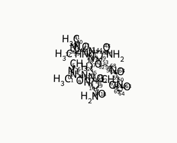 CCn1nc(C)cc1C(=O)Nc1nc2cc(C(N)=O)cc(OC)c2n1CC=CCn1c(NC(=O)c2cc(C)nn2CC)nc2cc(C(N)=O)cc(OCCC3CN(C(=O)CCN4C(=O)C=CC4=O)C3)c21